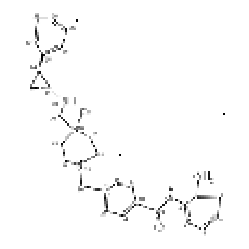 Nc1ccccc1NC(=O)c1ccc(CN2CCC(F)(CN[C@@H]3C[C@H]3c3ccccc3)CC2)cc1